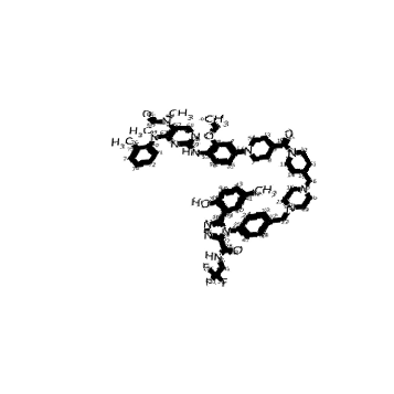 CCOc1cc(N2CCC(C(=O)N3CCC(CN4CCN(Cc5ccc(-n6c(C(=O)NCC(F)(F)F)nnc6-c6cc(C)ccc6O)cc5)CC4)CC3)CC2)ccc1Nc1ncc(N(C)C=O)c(N(C)c2ccccc2C)n1